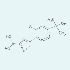 CC(C)(O)c1ccc(-c2csc(B(O)O)c2)c(F)c1